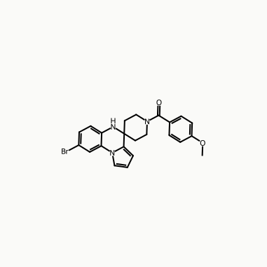 COc1ccc(C(=O)N2CCC3(CC2)Nc2ccc(Br)cc2-n2cccc23)cc1